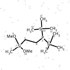 CO[Si](C)(CCP([Si](C)(C)C)[Si](C)(C)C)OC